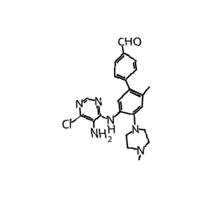 Cc1cc(N2CCN(C)CC2)c(Nc2ncnc(Cl)c2N)cc1-c1ccc(C=O)cc1